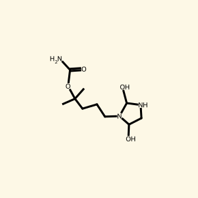 CC(C)(CCCN1C(O)CNC1O)OC(N)=O